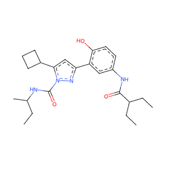 CCC(C)NC(=O)n1nc(-c2cc(NC(=O)C(CC)CC)ccc2O)cc1C1CCC1